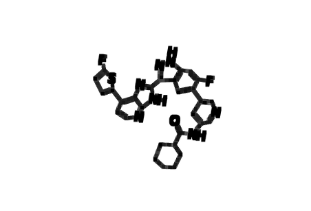 O=C(Nc1cncc(-c2cc3c(-c4nc5c(-c6ccc(F)s6)ccnc5[nH]4)n[nH]c3cc2F)c1)C1CCCCC1